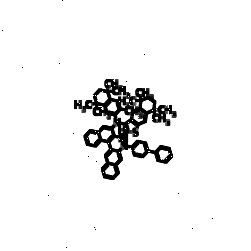 Cc1cc2c(cc1N1c3cc4ccccc4c(-c4cc5ccccc5cc4Nc4ccc(-c5ccccc5)cc4)c3Bc3sc4cc5c(cc4c31)C(C)(C)CCC5(C)C)C(C)(C)CCC2(C)C